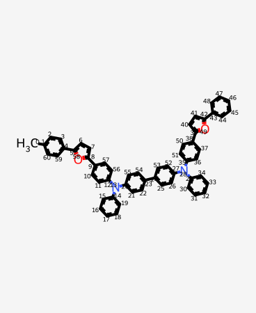 Cc1ccc(-c2ccc(-c3ccc(N(c4ccccc4)c4ccc(-c5ccc(N(c6ccccc6)c6ccc(-c7ccc(-c8ccccc8)o7)cc6)cc5)cc4)cc3)o2)cc1